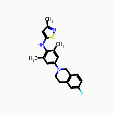 Cc1cc(Nc2c(C)cc(N3CCc4cc(F)ccc4C3)cc2C)sn1